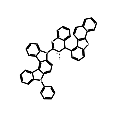 I[C@@H]1C(n2c3ccccc3c3c4c5ccccc5n(-c5ccccc5)c4ccc32)=Nc2ccccc2C1c1cccc2sc3c4ccccc4ccc3c12